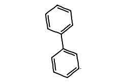 [c]1cccc(-c2ccccc2)c1